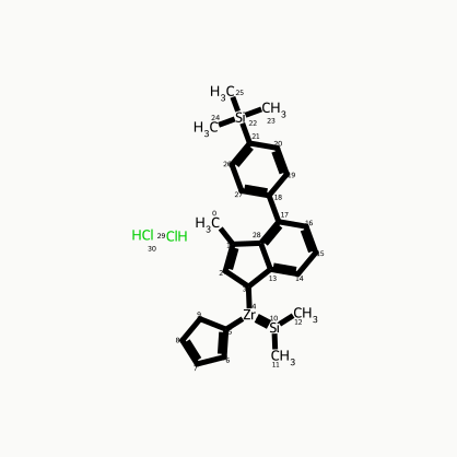 CC1=C[CH]([Zr]([C]2=CC=CC2)=[Si](C)C)c2cccc(-c3ccc([Si](C)(C)C)cc3)c21.Cl.Cl